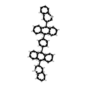 c1ccc2ncc(-c3c4ccccc4c(-c4ccc(-c5c6ccccc6c(-c6cnc7ccccc7c6)c6ccccc56)cc4)c4ccccc34)cc2c1